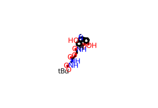 CN1CC[C@]23c4c5ccc(O)c4O[C@H]2[C@@H](NC(=O)COCC(=O)NCNC(=O)OC(C)(C)C)CC[C@@]3(O)C1C5